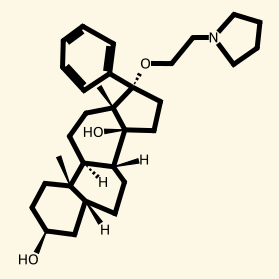 C[C@]12CC[C@H](O)C[C@H]1CC[C@@H]1[C@@H]2CC[C@]2(C)[C@@](OCCN3CCCC3)(c3ccccc3)CC[C@]12O